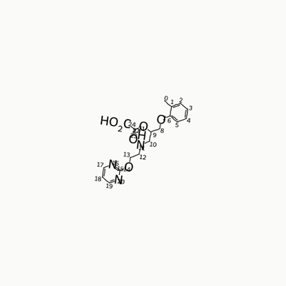 Cc1ccccc1OCC(CNCCOc1ncccn1)OC(=O)C(=O)O